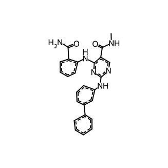 CNC(=O)c1cnc(Nc2cccc(-c3ccccc3)c2)nc1Nc1ccccc1C(N)=O